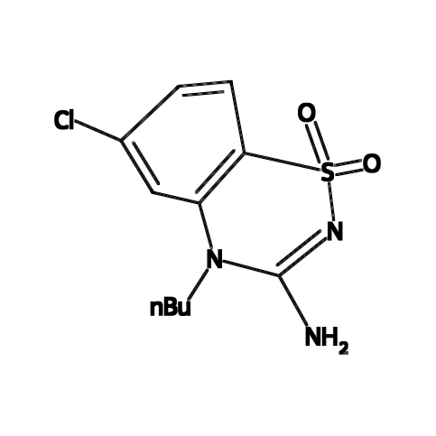 CCCCN1C(N)=NS(=O)(=O)c2ccc(Cl)cc21